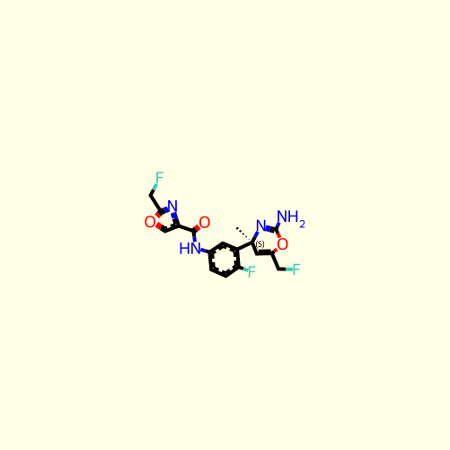 C[C@@]1(c2cc(NC(=O)c3coc(CF)n3)ccc2F)C=C(CF)OC(N)=N1